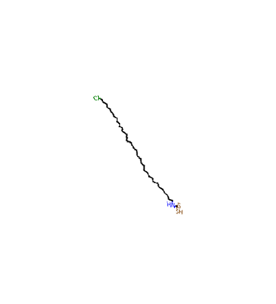 S=C(S)NCCCCCCCCCCCCCCCCCCCCCCCCCCCCCCCCCCCCl